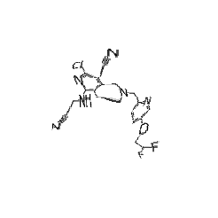 N#CCNc1nc(Cl)c(C#N)c2c1CCN(Cc1ccc(OCC(F)F)cn1)C2